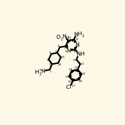 NCC1CCC(Cc2nc(NCCc3ccc(Cl)cc3)nc(N)c2[N+](=O)[O-])CC1